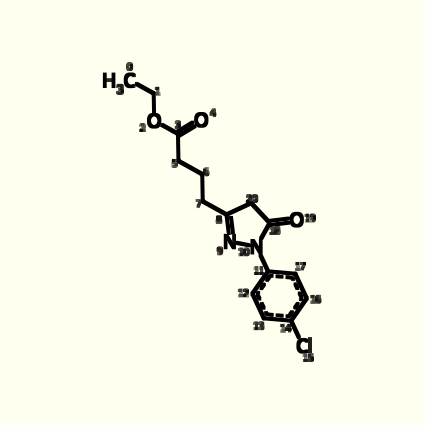 CCOC(=O)CCCC1=NN(c2ccc(Cl)cc2)C(=O)C1